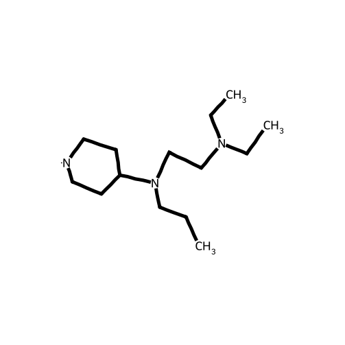 CCCN(CCN(CC)CC)C1CC[N]CC1